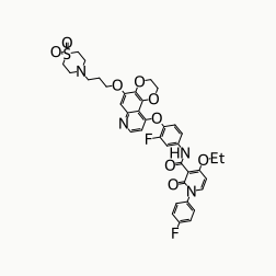 CCOc1ccn(-c2ccc(F)cc2)c(=O)c1C(=O)Nc1ccc(Oc2ccnc3cc(OCCCN4CCS(=O)(=O)CC4)c4c(c23)OCCO4)c(F)c1